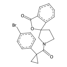 O=C1OC2(CCN(C(=O)C3(c4ccc(Br)cc4)CC3)C2)c2ccccc21